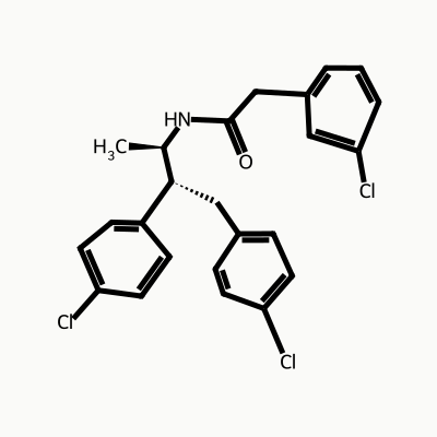 C[C@@H](NC(=O)Cc1cccc(Cl)c1)[C@H](Cc1ccc(Cl)cc1)c1ccc(Cl)cc1